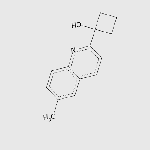 Cc1ccc2nc(C3(O)CCC3)ccc2c1